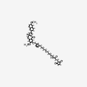 COc1ccc2cc(C3=CN4C(=O)c5cc(OCc6cn(CCOCCOCCOCCNC(=O)CCN7C(=O)C=CC7=O)nn6)c(OC)cc5N=C[C@@H]4C3)ccc2c1